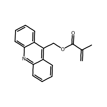 C=C(C)C(=O)OCc1c2ccccc2nc2ccccc12